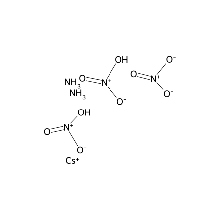 N.N.O=[N+]([O-])O.O=[N+]([O-])O.O=[N+]([O-])[O-].[Cs+]